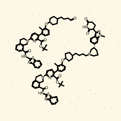 Cc1c(OC2CCC(CCCC=O)CC2)cccc1-c1ccc(N2CCc3cccc(C(=O)Nc4nc5ccccc5s4)c3C2)nc1C(=O)OC(C)(C)C.Cc1c(OC2CCC(CCCCN3CCC[C@@H](c4ccc5c(C6CCC(=O)NC6=O)nn(C)c5c4)C3)CC2)cccc1-c1ccc(N2CCc3cccc(C(=O)Nc4nc5ccccc5s4)c3C2)nc1C(=O)OC(C)(C)C